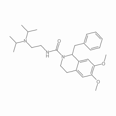 COc1cc2c(cc1OC)C(Cc1ccccc1)N(C(=O)NCCN(C(C)C)C(C)C)CC2